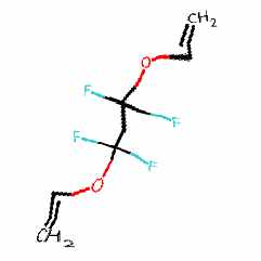 C=COC(F)(F)C(F)(F)OC=C